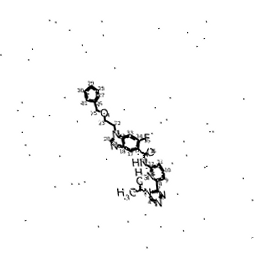 CC(C)n1cnnc1-c1cccc(NC(=O)c2cc3ncn(CCOCc4ccccc4)c3cc2F)n1